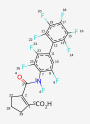 O=C(O)C1=C(C(=O)N(F)c2c(F)cc(-c3c(F)c(F)c(F)c(F)c3F)c(F)c2F)CCC1